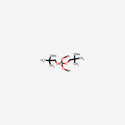 COC(C)(C)C[O][Zr]([O]CC(C)(C)OC)([O]C(C)C)[O]C(C)C